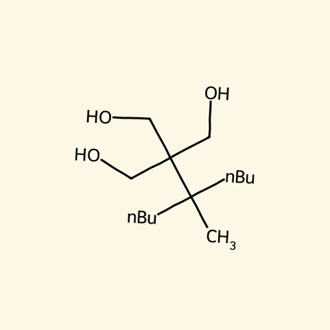 CCCCC(C)(CCCC)C(CO)(CO)CO